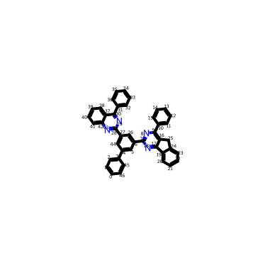 c1ccc(-c2cc(-c3nc(-c4ccccc4)c4c(n3)-c3ccccc3C4)cc(-c3nc(-c4ccccc4)c4ccccc4n3)c2)cc1